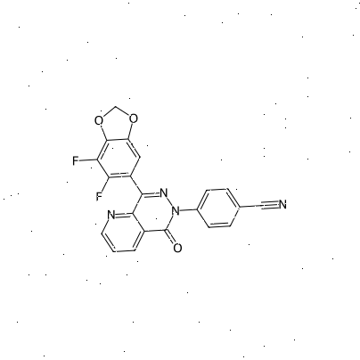 N#Cc1ccc(-n2nc(-c3cc4c(c(F)c3F)OCO4)c3ncccc3c2=O)cc1